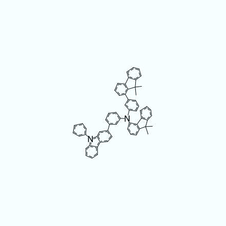 CC1(C)c2ccccc2-c2c(N(c3cccc(-c4ccc5c6ccccc6n(-c6ccccc6)c5c4)c3)c3cccc(-c4cccc5c4C(C)(C)c4ccccc4-5)c3)cccc21